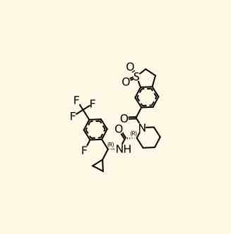 O=C(N[C@@H](c1ccc(C(F)(F)F)cc1F)C1CC1)[C@H]1CCCCN1C(=O)c1ccc2c(c1)S(=O)(=O)CC2